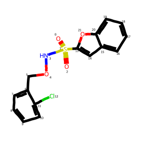 O=S(=O)(NOCc1ccccc1Cl)c1cc2ccccc2o1